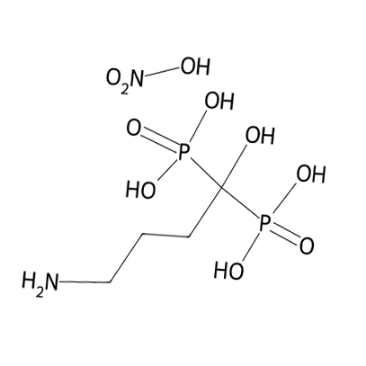 NCCCC(O)(P(=O)(O)O)P(=O)(O)O.O=[N+]([O-])O